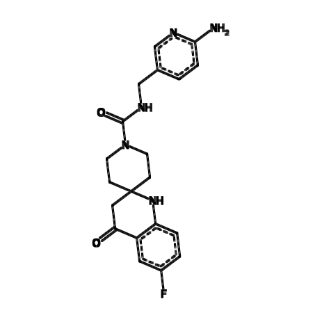 Nc1ccc(CNC(=O)N2CCC3(CC2)CC(=O)c2cc(F)ccc2N3)cn1